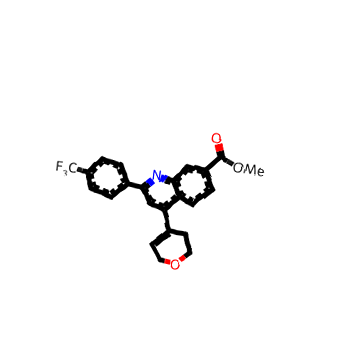 COC(=O)c1ccc2c(C3=CCOCC3)cc(-c3ccc(C(F)(F)F)cc3)nc2c1